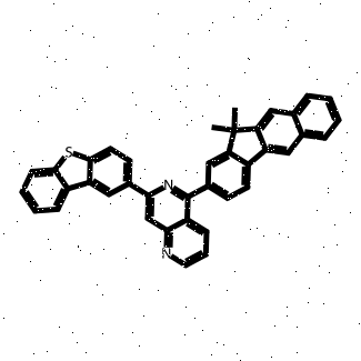 CC1(C)c2cc(-c3nc(-c4ccc5sc6ccccc6c5c4)cc4ncccc34)ccc2-c2cc3ccccc3cc21